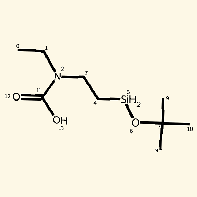 CCN(CC[SiH2]OC(C)(C)C)C(=O)O